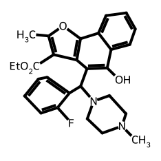 CCOC(=O)c1c(C)oc2c1c(C(c1ccccc1F)N1CCN(C)CC1)c(O)c1ccccc12